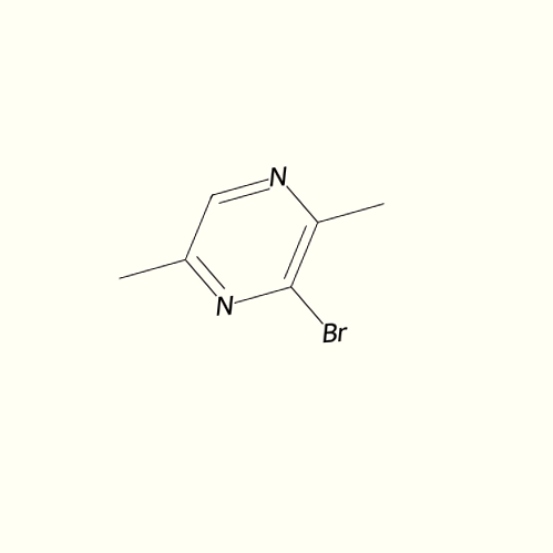 Cc1cnc(C)c(Br)n1